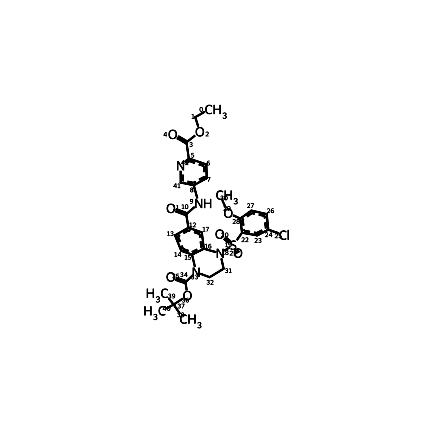 CCOC(=O)c1ccc(NC(=O)c2ccc3c(c2)N(S(=O)(=O)c2cc(Cl)ccc2OC)CCN3C(=O)OC(C)(C)C)cn1